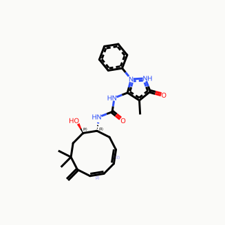 C=C1/C=C\C=C/C[C@@H](NC(=O)Nc2c(C)c(=O)[nH]n2-c2ccccc2)[C@H](O)CC1(C)C